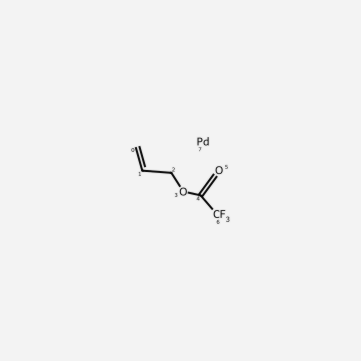 C=CCOC(=O)C(F)(F)F.[Pd]